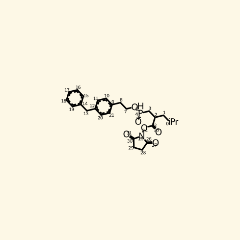 CC(C)CC(C[PH](=O)OCCc1ccc(Cc2ccccc2)cc1)C(=O)ON1C(=O)CCC1=O